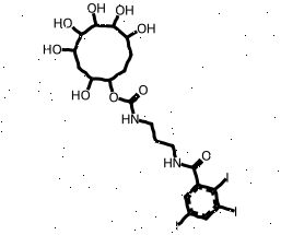 O=C(NCCCNC(=O)c1cc(I)cc(I)c1I)OC1CCC(O)C(O)C(O)C(O)C(O)CC1O